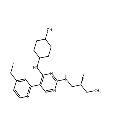 CC[C@H](F)CNc1ncc(-c2cc(CF)ccn2)c(NC2CCC(O)CC2)n1